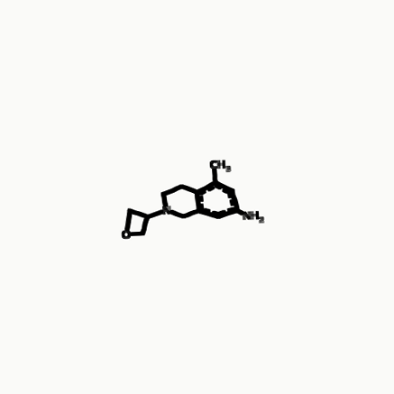 Cc1cc(N)cc2c1CCN(C1COC1)C2